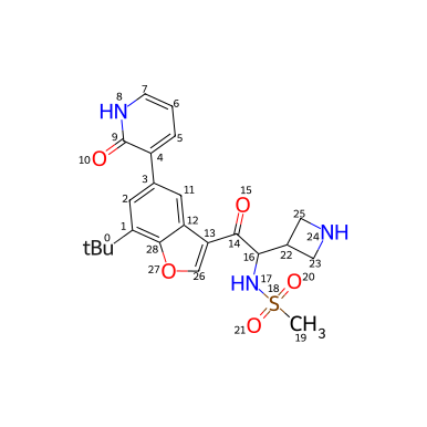 CC(C)(C)c1cc(-c2ccc[nH]c2=O)cc2c(C(=O)C(NS(C)(=O)=O)C3CNC3)coc12